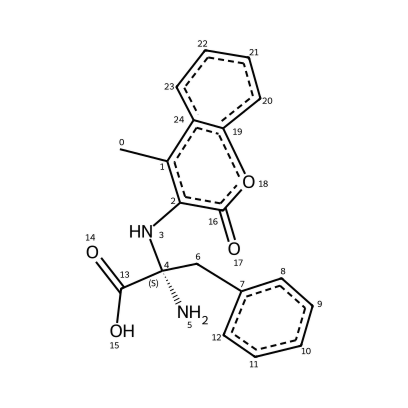 Cc1c(N[C@@](N)(Cc2ccccc2)C(=O)O)c(=O)oc2ccccc12